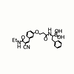 CCNC(=O)C(C#N)=Cc1cccc(OCCC(=O)NC(Cc2ccccc2)B(O)O)c1